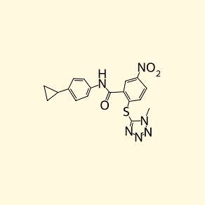 Cn1nnnc1Sc1ccc([N+](=O)[O-])cc1C(=O)Nc1ccc(C2CC2)cc1